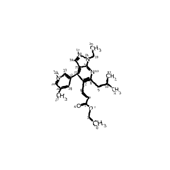 CCOC(=O)/C=C/c1c(CC(C)C)nc2c(cnn2CC)c1-c1cncc(C)c1